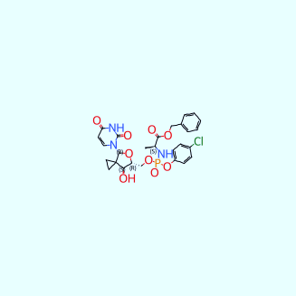 C[C@H](NP(=O)(OC[C@H]1O[C@@H](n2ccc(=O)[nH]c2=O)C2(CC2)[C@@H]1O)Oc1ccc(Cl)cc1)C(=O)OCc1ccccc1